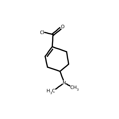 CN(C)C1CC=C(C(=O)Cl)CC1